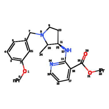 CCCOc1cccc(CN2CC[C@@H](Nc3ncccc3C(=O)OC(C)C)C2C)c1